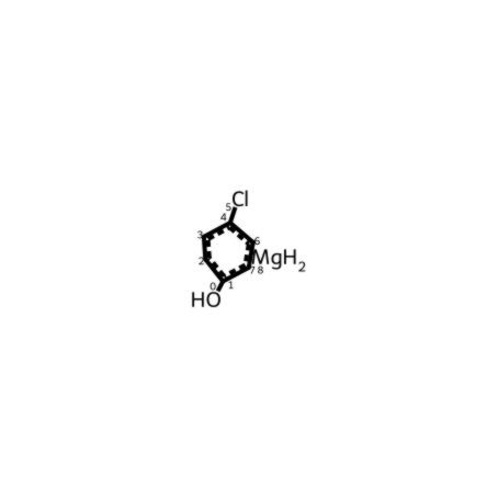 Oc1ccc(Cl)cc1.[MgH2]